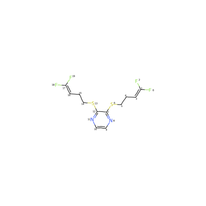 FC(F)=CCCSc1nccnc1SCCC=C(F)F